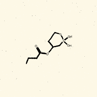 CCCC(=O)OC1CCOS(O)(O)C1